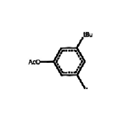 [CH2]c1cc(OC(C)=O)cc(C(C)(C)C)c1